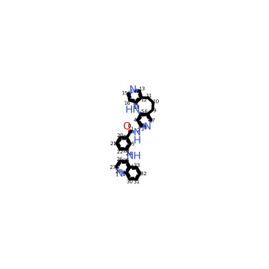 O=C(Nc1cc2c(cn1)CCCc1cnccc1N2)c1cccc(Nc2ccnc3ccccc23)c1